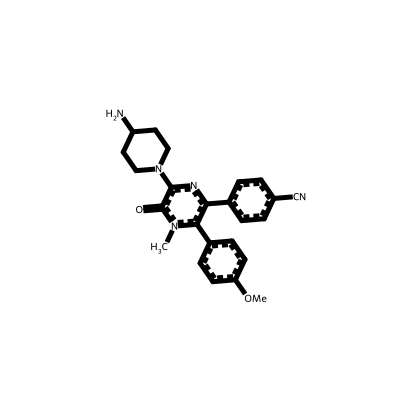 COc1ccc(-c2c(-c3ccc(C#N)cc3)nc(N3CCC(N)CC3)c(=O)n2C)cc1